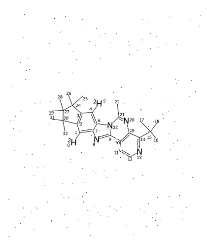 [2H]c1c2c(c([2H])c3c1nc1c4ccnc(C(C)(C)C)c4nc(C)n13)C(C)(C)C(C)(C)C2(C)C